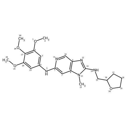 COc1cc(Nc2cc3c(cn2)nc(NCC2CCCO2)n3C)cc(OC)c1OC